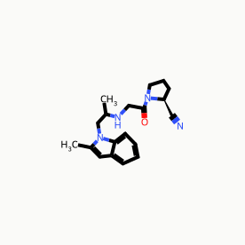 Cc1cc2ccccc2n1CC(C)NCC(=O)N1CCC[C@H]1C#N